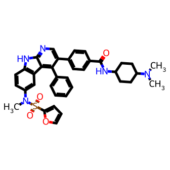 CN(C)C1CCC(NC(=O)c2ccc(-c3cnc4[nH]c5ccc(N(C)S(=O)(=O)c6ccco6)cc5c4c3-c3ccccc3)cc2)CC1